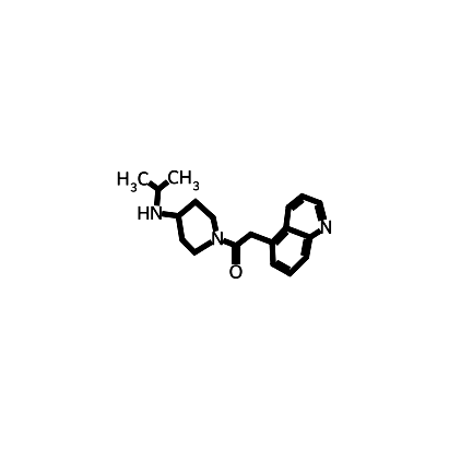 CC(C)NC1CCN(C(=O)Cc2cccc3ncccc23)CC1